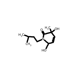 CC(C)CCN1C(=O)C(C)(O)C=CC1O